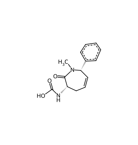 CN1C(=O)[C@@H](NC(=O)O)CC=C[C@H]1c1ccccc1